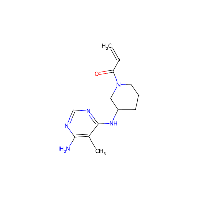 C=CC(=O)N1CCCC(Nc2ncnc(N)c2C)C1